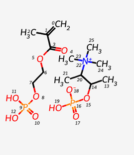 C=C(C)C(=O)OCCOP(=O)(O)O.CC(OP(=O)([O-])O)C(C)[N+](C)(C)C